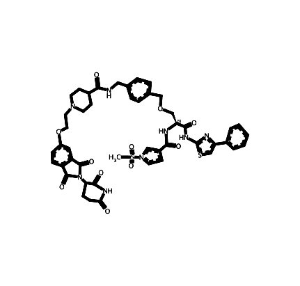 CS(=O)(=O)n1ccc(C(=O)N[C@@H](COCc2ccc(CNC(=O)C3CCN(CCOc4ccc5c(c4)C(=O)N(C4CCC(=O)NC4=O)C5=O)CC3)cc2)C(=O)Nc2nc(-c3ccccc3)cs2)c1